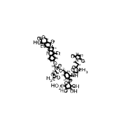 CCc1c2c(nc3ccc(OCN(CCS(C)(=O)=O)C(=O)OCc4ccc(O[C@@H]5O[C@H](C(=O)O)[C@@H](O)[C@H](O)[C@H]5O)c(NC(=O)CN(C)C(=O)CCN5C(=O)C=CC5=O)c4)cc13)-c1cc3c(c(=O)n1C2)COC(=O)[C@]3(O)CC